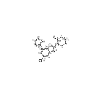 C[C@H]1CNCCN1c1nc2cc(Cl)cc(-c3nccs3)c2o1